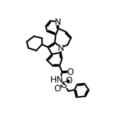 O=C(NS(=O)(=O)Cc1ccccc1)c1ccc2c(C3CCCCC3)c3n(c2c1)CC=Cc1ncccc1-3